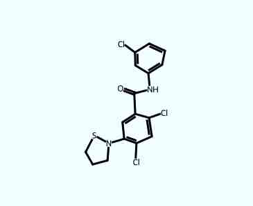 O=C(Nc1cccc(Cl)c1)c1cc(N2CCCS2)c(Cl)cc1Cl